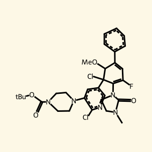 COC1C(c2ccccc2)=CC(F)=C(N2CCN(C)C2=O)C1(Cl)c1cnc(Cl)c(N2CCN(C(=O)OC(C)(C)C)CC2)c1